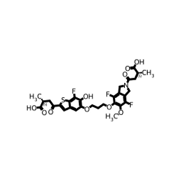 COc1c(F)c2c(c(F)c1OCCCOc1cc3cc(C(=O)C[C@H](C)C(=O)O)sc3c(F)c1O)CN(C(=O)C[C@H](C)C(=O)O)C2